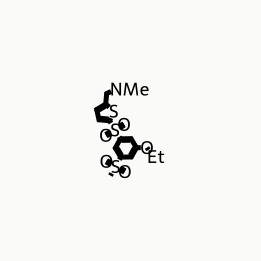 CCOc1cc(S(C)(=O)=O)cc(S(=O)(=O)c2ccc(CNC)s2)c1